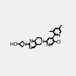 Cc1cnc(-c2cc(N3CCc4nc(N5CC(O)C5)ncc4C3)ncc2Cl)c(C)c1